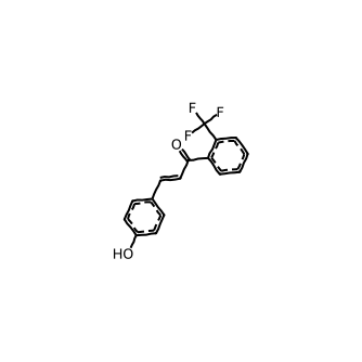 O=C(C=Cc1ccc(O)cc1)c1ccccc1C(F)(F)F